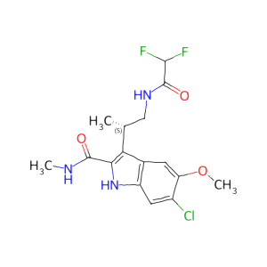 CNC(=O)c1[nH]c2cc(Cl)c(OC)cc2c1[C@H](C)CNC(=O)C(F)F